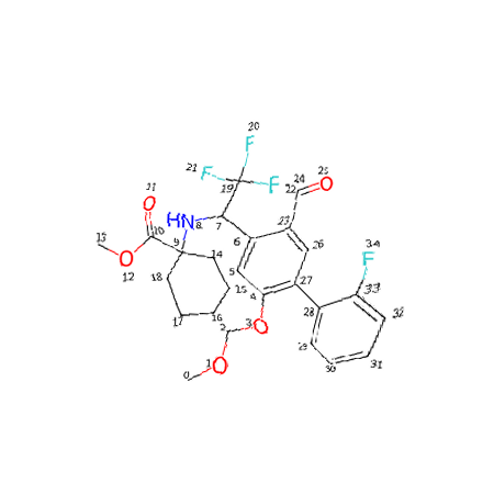 COCOc1cc(C(NC2(C(=O)OC)CCCCC2)C(F)(F)F)c(C=O)cc1-c1ccccc1F